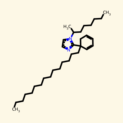 CCCCCCCCCCCCCCCC1(c2nccn2C(C)CCCCCC)C=CC=CC1